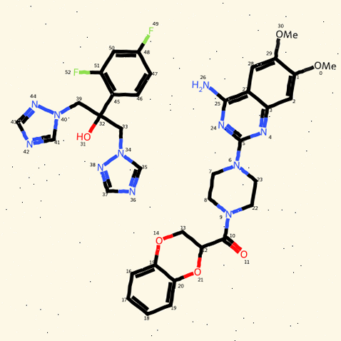 COc1cc2nc(N3CCN(C(=O)C4COc5ccccc5O4)CC3)nc(N)c2cc1OC.OC(Cn1cncn1)(Cn1cncn1)c1ccc(F)cc1F